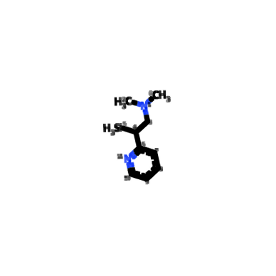 CN(C)CC([SiH3])c1ccccn1